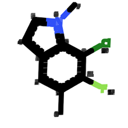 Cc1cc2ccn(C)c2c(Cl)c1F